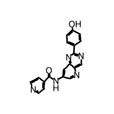 O=C(Nc1cnc2cnc(-c3ccc(O)cc3)nc2c1)c1ccncc1